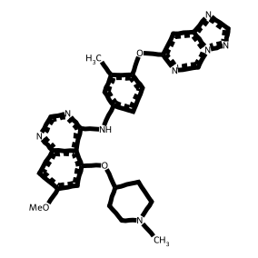 COc1cc(OC2CCN(C)CC2)c2c(Nc3ccc(Oc4cc5ncnn5cn4)c(C)c3)ncnc2c1